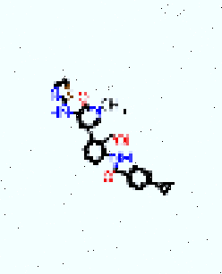 Cn1cc(-c2cccc(NC(=O)c3ccc(C4CC4)cc3)c2CO)cc(Nc2nccs2)c1=O